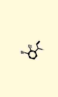 [CH2]C(C=C)c1cccc(Br)c1CC